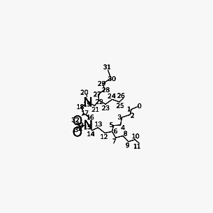 CCCCCCC(CCCCC)CCCN1C[C@H](CN(C)CC(CCCC)CCCCC)OC1=O